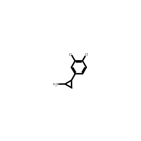 NC1CC1c1ccc(Cl)c(Cl)c1